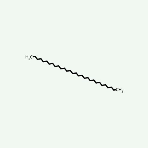 [CH2]CCCCCCCCCCCCCCCCCCCCCCCCCCCCC